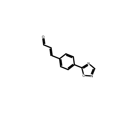 O=CC=Cc1ccc(-c2ncno2)cc1